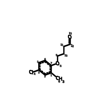 Cc1cc(Cl)ccc1OCCC[C]=O